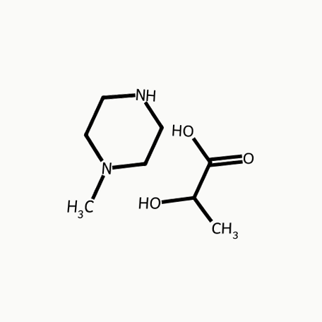 CC(O)C(=O)O.CN1CCNCC1